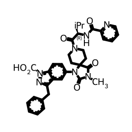 CC(C)[C@@H](NC(=O)c1ccccn1)C(=O)N1CCC2(CC1)C(=O)N(C)C(=O)N2c1ccc2c(c1)c(Cc1ccccc1)nn2C(=O)O